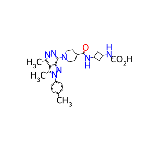 Cc1ccc(-n2nc3c(N4CCC(C(=O)NC5CC(NC(=O)O)C5)CC4)nnc(C)c3c2C)cc1